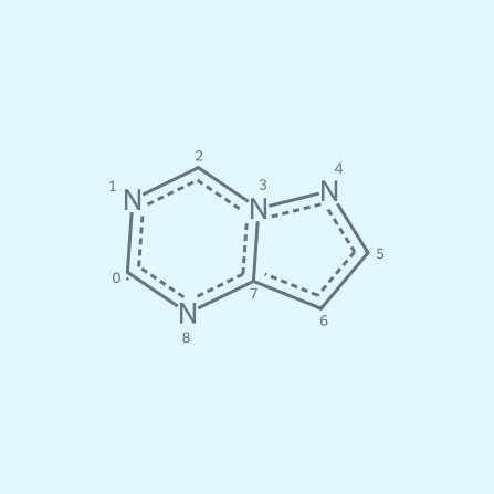 [c]1ncn2nccc2n1